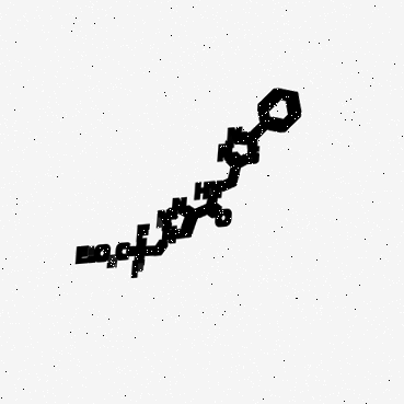 CCOC(=O)C(F)(F)Cn1cc(C(=O)NCc2nnc(-c3ccccc3)s2)nn1